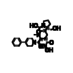 CN1C[C@@H]([C@]2(CO)CCCN2C(=O)O)C[C@H](C(=O)NO)[C@H]1C(=O)N1CC=C(c2ccccc2)CC1